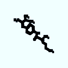 CSCC[C@H](N)C(=O)Nc1ccc(N=C(C)N(C)C)cc1